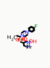 C=CC(N1CCN(c2ccc(F)cc2)CC1)S(=O)(=O)CC(CC(C)C)C(=O)NO